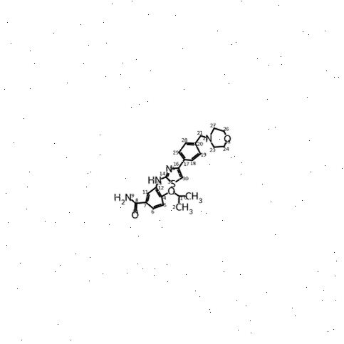 CC(C)Oc1ccc(C(N)=O)cc1Nc1nc(-c2ccc(CN3CCOCC3)cc2)cs1